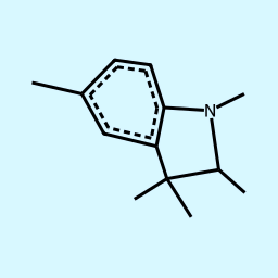 Cc1ccc2c(c1)C(C)(C)C(C)N2C